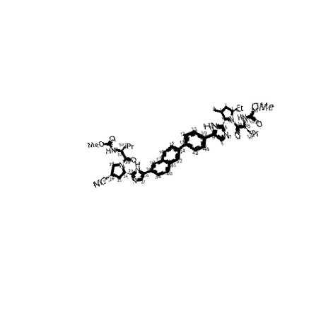 CC[C@@H]1CC(C)[C@@H](c2ncc(-c3ccc(-c4ccc5cc(-c6cnc([C@@H]7C[C@H](C#N)CN7C(=O)[C@@H](NC(=O)OC)C(C)C)[nH]6)ccc5c4)cc3)[nH]2)N1C(=O)[C@@H](NC(=O)OC)C(C)C